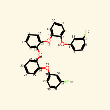 Fc1cccc(Oc2ccccc2Oc2ccccc2Oc2ccccc2Oc2cccc(F)c2)c1